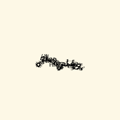 CN(C)c1cccc2c(S(=O)(=O)NCC(=O)N3CCC[C@H]3C(=O)N[C@@H](CCCNC(=N)NC(=O)OCc3ccccc3)C(=O)O)cccc12